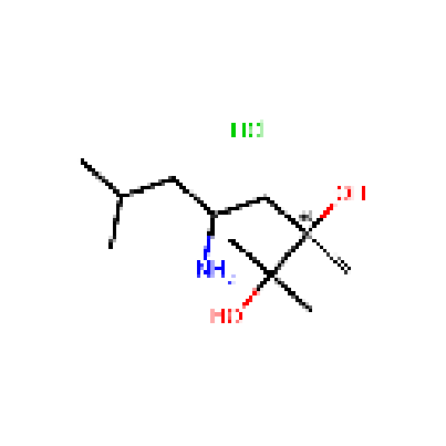 CC(C)CC(N)C[C@@](C)(O)C(C)(C)O.Cl